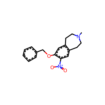 CN1CCc2cc(OCc3ccccc3)c([N+](=O)[O-])cc2CC1